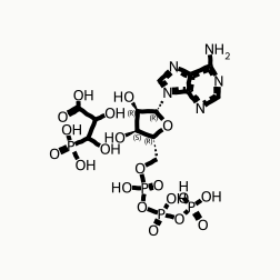 Nc1ncnc2c1ncn2[C@@H]1O[C@H](COP(=O)(O)OP(=O)(O)OP(=O)(O)O)[C@@H](O)[C@H]1O.O=C(O)C(O)C(O)P(=O)(O)O